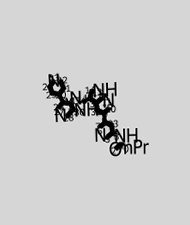 CCCC(=O)Nc1cncc(-c2cnc3[nH]cc(-c4nc5c(-c6ccncc6)cncc5[nH]4)c3c2)c1